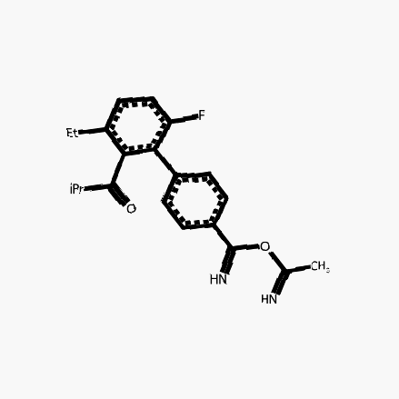 CCc1ccc(F)c(-c2ccc(C(=N)OC(C)=N)cc2)c1C(=O)C(C)C